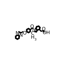 Cc1cc2c(CC(=O)O)cccc2n1C(=O)c1ccc(OCc2cnc3ccccc3n2)cc1